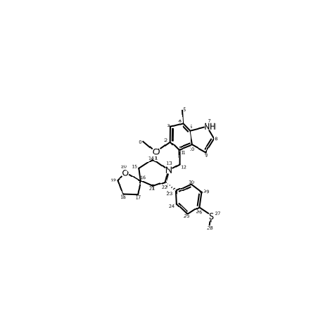 COc1cc(C)c2[nH]ccc2c1CN1CCC2(CCCO2)C[C@H]1c1ccc(SC)cc1